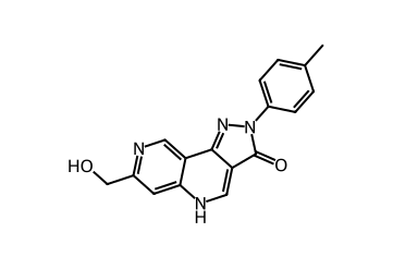 Cc1ccc(-n2nc3c4cnc(CO)cc4[nH]cc-3c2=O)cc1